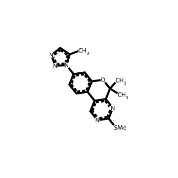 CSc1ncc2c(n1)C(C)(C)Oc1cc(-n3nncc3C)ccc1-2